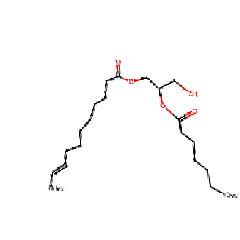 CCCCCCC=CCCCCCCCC(=O)OCC(CO)OC(=O)CCCCCCCCCCCCCCC